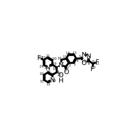 O=C1c2cc(-c3nnc(C(F)F)o3)ccc2CN1[C@H](c1ccc(F)cn1)[C@H](O)c1ccccn1